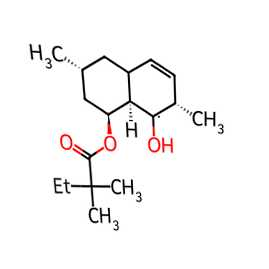 CCC(C)(C)C(=O)O[C@H]1C[C@H](C)CC2C=C[C@H](C)[C](O)[C@H]21